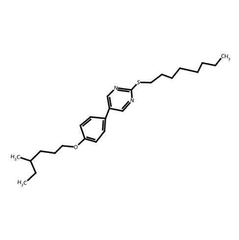 CCCCCCCCSc1ncc(-c2ccc(OCCCC(C)CC)cc2)cn1